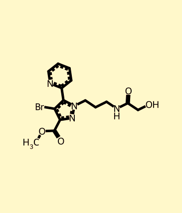 COC(=O)c1nn(CCCNC(=O)CO)c(-c2ccccn2)c1Br